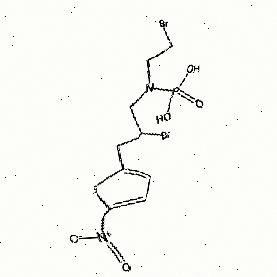 O=[N+]([O-])c1ccc(CC(Br)CN(CCBr)P(=O)(O)O)s1